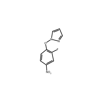 O=[N+]([O-])c1ccc(On2cccn2)c(F)c1